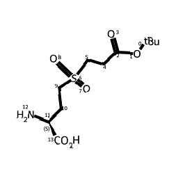 CC(C)(C)OC(=O)CCS(=O)(=O)CC[C@H](N)C(=O)O